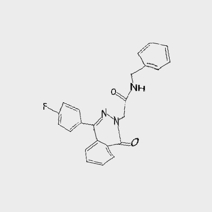 O=C(Cn1nc(-c2ccc(F)cc2)c2ccccc2c1=O)NCc1ccccc1